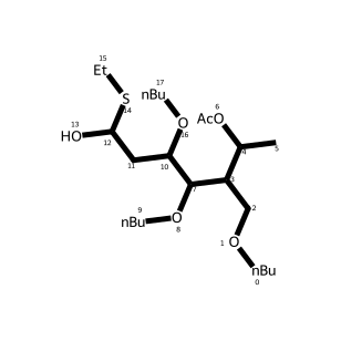 CCCCOCC(C(C)OC(C)=O)C(OCCCC)C(CC(O)SCC)OCCCC